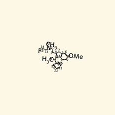 COc1ccc2c(c1)CC(CCN(C)CCF)=C2C(C)c1nccs1